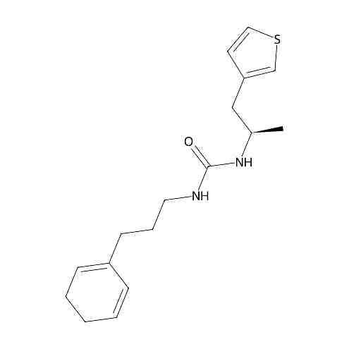 C[C@H](Cc1ccsc1)NC(=O)NCCCC1=CCCC=C1